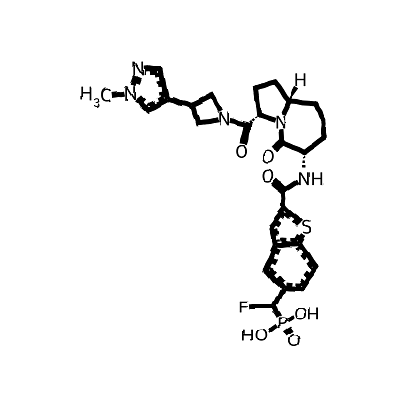 Cn1cc(C2CN(C(=O)[C@@H]3CC[C@@H]4CCC[C@H](NC(=O)c5cc6cc(C(F)P(=O)(O)O)ccc6s5)C(=O)N43)C2)cn1